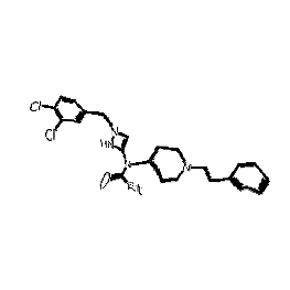 CCC(=O)N(c1cn(Cc2ccc(Cl)c(Cl)c2)[nH]1)C1CCN(CCc2ccccc2)CC1